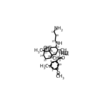 COc1cc(C)cc(C(=O)[C@H]2[C@H](C)C(NCCCN)C[C@H]3C(C)(C)CCC[C@]23C)c1.Cl.Cl